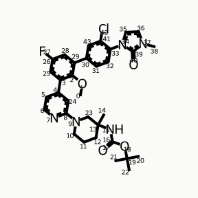 COc1c(-c2ccnc(N3CCCC(C)(NC(=O)OC(C)(C)C)C3)c2)cc(F)cc1-c1ccc(-n2ccn(C)c2=O)c(Cl)c1